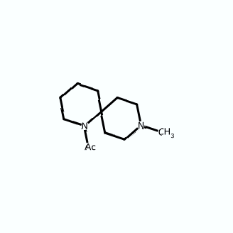 CC(=O)N1CCCCC12CCN(C)CC2